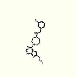 Fc1cccc(CNC2CCCN(c3ncnc4sc(CC(F)(F)F)cc34)CC2)c1